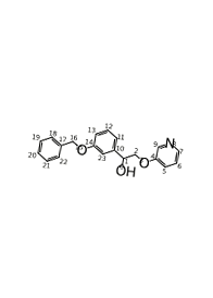 OC(COc1cccnc1)c1cccc(OCc2ccccc2)c1